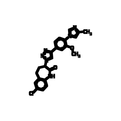 COc1cc(-c2cn(C3CCc4cc(Cl)ccc4NC3=O)nn2)ccc1-n1cnc(C)c1